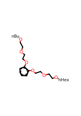 CCCCCCOCCOCCOc1ccccc1OCCOCCOCCCC